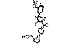 Cn1c(-c2cccc(OC(F)(F)F)c2)nc(I)c1C(=O)N1CCC(N2CCC[C@H]2CO)CC1